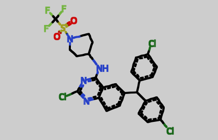 O=S(=O)(N1CCC(Nc2nc(Cl)nc3ccc(C(c4ccc(Cl)cc4)c4ccc(Cl)cc4)cc23)CC1)C(F)(F)F